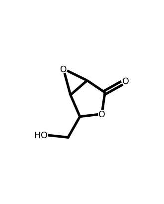 O=C1OC(CO)C2OC12